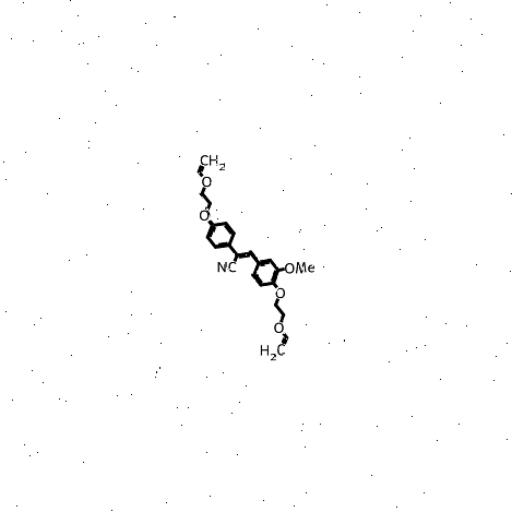 C=COCCOc1ccc(/C(C#N)=C/c2ccc(OCCOC=C)c(OC)c2)cc1